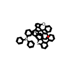 c1ccc(-c2cccc3sc4cc(N(c5cccc(N(c6ccccc6)c6ccccc6)c5)c5cccc6c5C5(c7ccccc7O6)c6ccccc6-c6ccccc65)ccc4c23)cc1